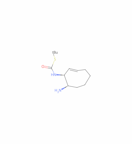 CC(C)(C)SC(=O)N[C@H]1/C=C/CCCC[C@H]1N